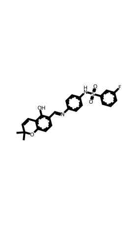 CC1(C)C=Cc2c(ccc(C=Nc3ccc(NS(=O)(=O)c4cccc(F)c4)cc3)c2O)O1